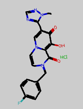 Cl.Cn1ncnc1-c1cn2ccn(Cc3ccc(F)cc3)c(=O)c2c(O)c1=O